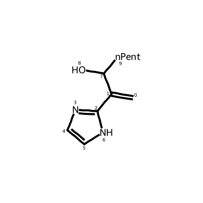 C=C(c1ncc[nH]1)C(O)CCCCC